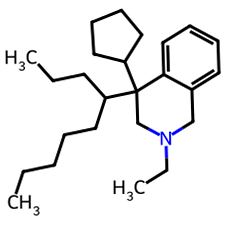 CCCCCC(CCC)C1(C2CCCC2)CN(CC)Cc2ccccc21